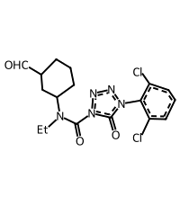 CCN(C(=O)n1nnn(-c2c(Cl)cccc2Cl)c1=O)C1CCCC(C=O)C1